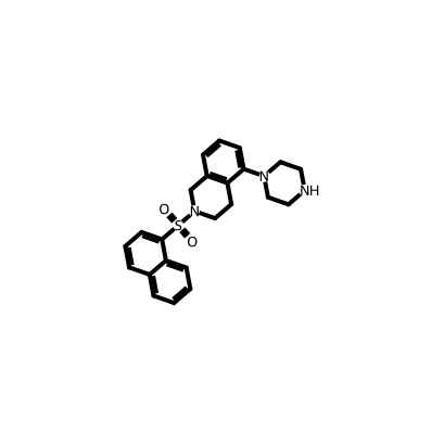 O=S(=O)(c1cccc2ccccc12)N1CCc2c(cccc2N2CCNCC2)C1